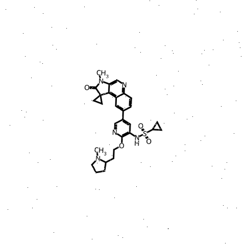 CN1C(=O)C2(CC2)c2c1cnc1ccc(-c3cnc(OCCC4CCCN4C)c(NS(=O)(=O)C4CC4)c3)cc21